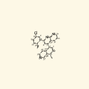 Cc1ncc(-c2cc(-c3cc(Cl)ccc3F)nc3ncccc23)c2ccncc12